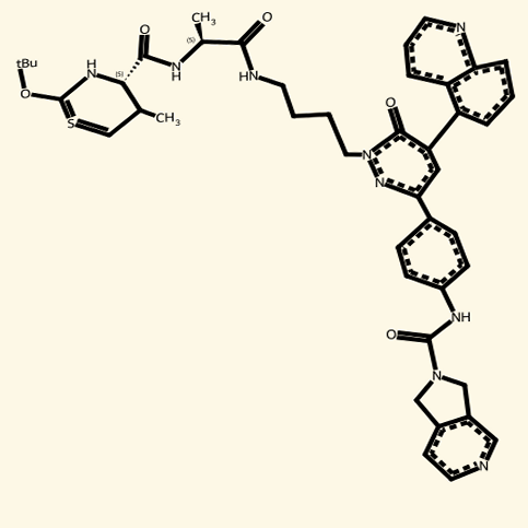 CC1C=S=C(OC(C)(C)C)N[C@@H]1C(=O)N[C@@H](C)C(=O)NCCCCn1nc(-c2ccc(NC(=O)N3Cc4ccncc4C3)cc2)cc(-c2cccc3ncccc23)c1=O